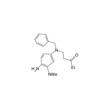 CCC(=O)CCN(Cc1ccccc1)c1ccc(N)c(NC)c1